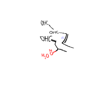 C/C=C/C=O.CC(O)CC=O.CC=O.O